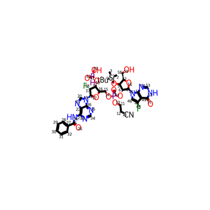 CC(C)(C)[Si](C)(C)OC1[C@@H](OP(=O)(OCCC#N)OCC2O[C@@H](n3cnc4c(NC(=O)c5ccccc5)ncnc43)[C@H](F)[C@@H]2O[PH](=O)O)[C@H](n2cc(F)c3c(=O)[nH]cnc32)O[C@@H]1CO